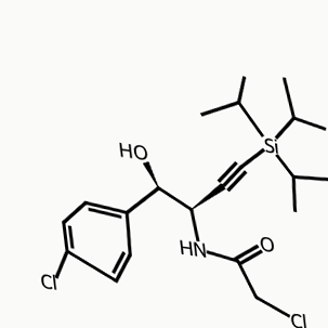 CC(C)[Si](C#C[C@@H](NC(=O)CCl)[C@H](O)c1ccc(Cl)cc1)(C(C)C)C(C)C